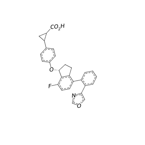 O=C(O)C1CC1c1ccc(O[C@@H]2CCc3c(-c4ccccc4-c4cocn4)ccc(F)c32)cc1